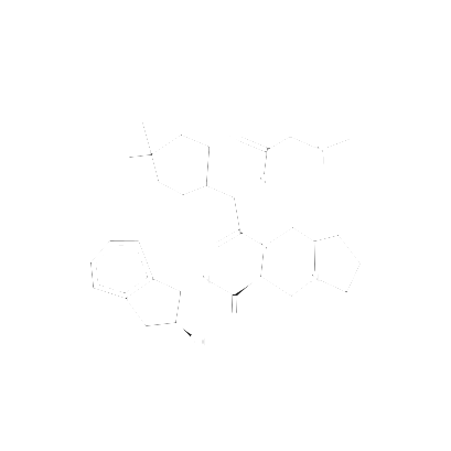 CN[C@@H](C)C(=O)N[C@H](C(=O)N1C[C@H]2CCCN2C[C@H]1C(=O)N[C@H]1c2ccccc2C[C@@H]1O)C1CCC(F)(F)CC1